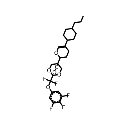 CCCC1CCC(C2=COC(C34COC(C(F)(F)Oc5cc(F)c(F)c(F)c5)(OC3)OC4)CC2)CC1